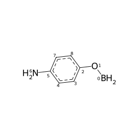 BOc1ccc(N)cc1